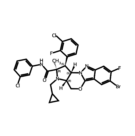 C[C@]1(C(=O)Nc2cccc(Cl)c2)[C@@H](c2cccc(Cl)c2F)[C@H]2[C@H](COc3c4cc(Br)c(F)cc4nn32)N1CC1CC1